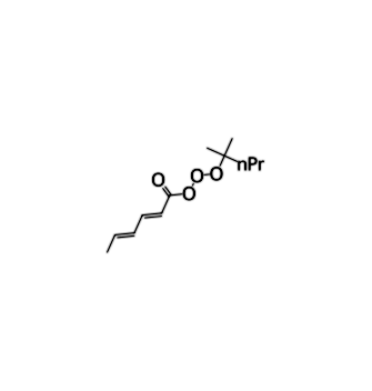 CC=CC=CC(=O)OOOC(C)(C)CCC